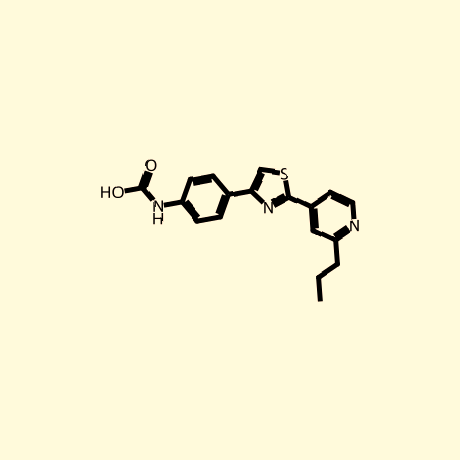 CCCc1cc(-c2nc(-c3ccc(NC(=O)O)cc3)cs2)ccn1